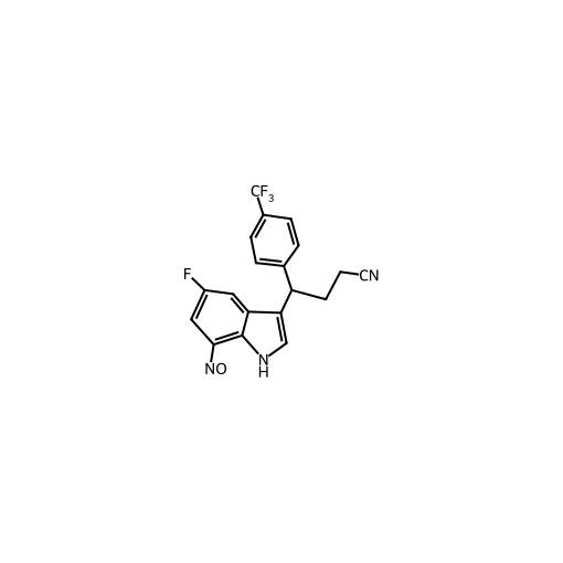 N#CCCC(c1ccc(C(F)(F)F)cc1)c1c[nH]c2c(N=O)cc(F)cc12